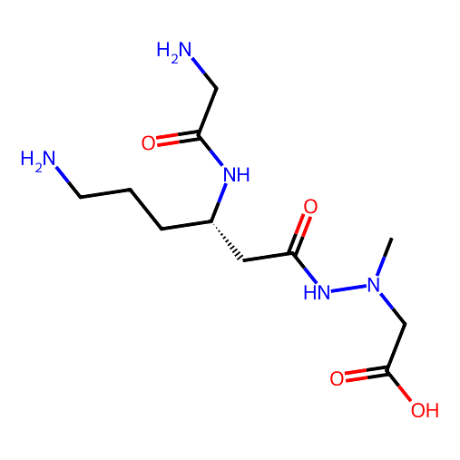 CN(CC(=O)O)NC(=O)C[C@H](CCCN)NC(=O)CN